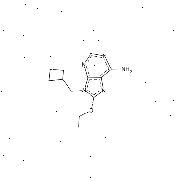 CCOc1nc2c(N)ncnc2n1CC1CCC1